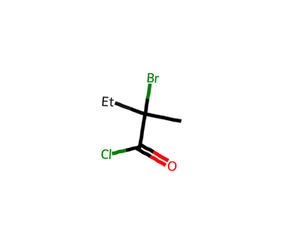 CCC(C)(Br)C(=O)Cl